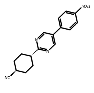 CCCCCCCCc1ccc(-c2cnc([C@H]3CC[C@H](C#N)CC3)nc2)cc1